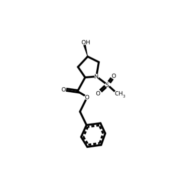 CS(=O)(=O)N1C[C@H](O)CC1C(=O)OCc1ccccc1